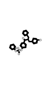 O=C(c1ccc(OP(=O)(O)Oc2ccccc2)cc1)C(Cc1ccccc1)Cc1ccc(Cl)cc1